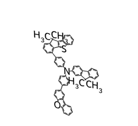 CC1(C)c2ccccc2-c2ccc(N(c3ccc(-c4ccc5oc6ccccc6c5c4)cc3)c3ccc(-c4cccc5c4-c4sc6ccccc6c4C5(C)C)cc3)cc21